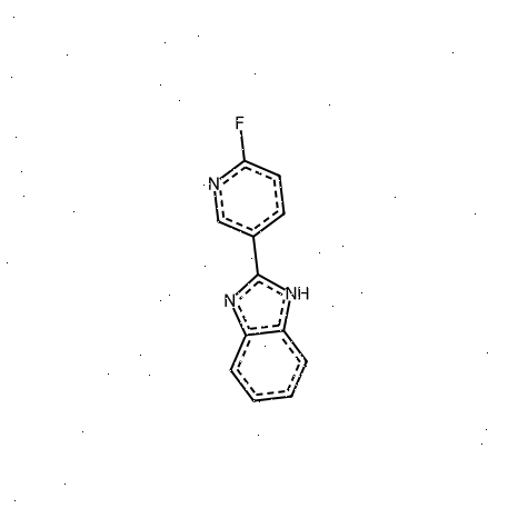 Fc1ccc(-c2nc3ccccc3[nH]2)cn1